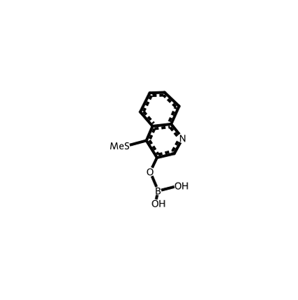 CSc1c(OB(O)O)cnc2ccccc12